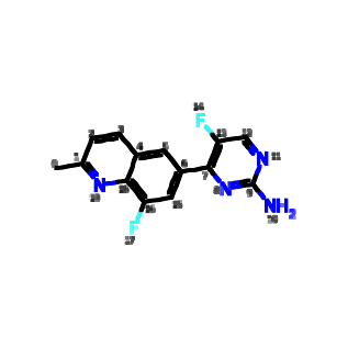 Cc1ccc2cc(-c3nc(N)ncc3F)cc(F)c2n1